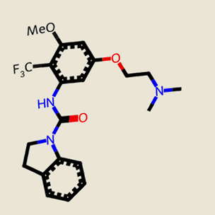 COc1cc(OCCN(C)C)cc(NC(=O)N2CCc3ccccc32)c1C(F)(F)F